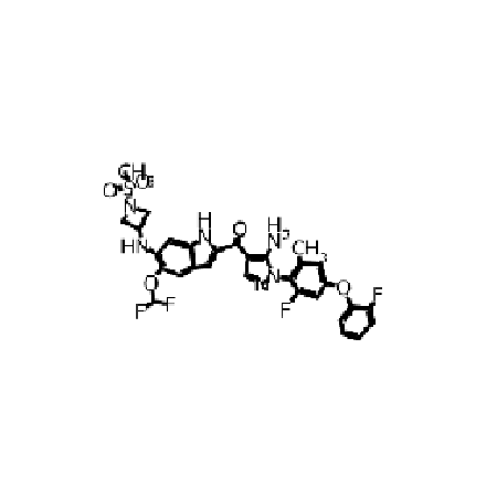 Cc1cc(Oc2ccccc2F)cc(F)c1-n1ncc(C(=O)c2cc3cc(OC(F)F)c(NC4CN(S(C)(=O)=O)C4)cc3[nH]2)c1N